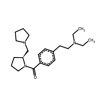 CCN(CC)CCc1ccc(C(=O)N2CCC[C@H]2CN2CCCC2)cc1